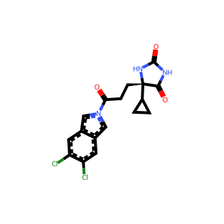 O=C1NC(=O)[C@](CCC(=O)n2cc3cc(Cl)c(Cl)cc3c2)(C2CC2)N1